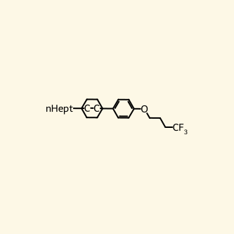 CCCCCCCC12CCC(c3ccc(OCCCC(F)(F)F)cc3)(CC1)CC2